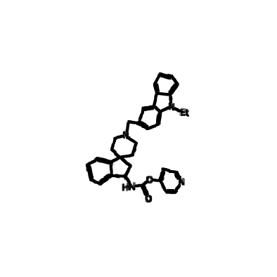 CCn1c2ccccc2c2cc(CN3CCC4(CC3)CC(NC(=O)Oc3ccncc3)c3ccccc34)ccc21